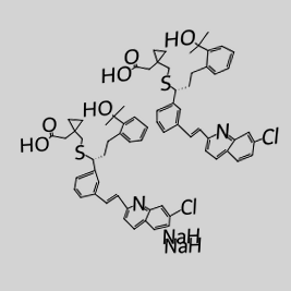 CC(C)(O)c1ccccc1CC[C@@H](SCC1(CC(=O)O)CC1)c1cccc(/C=C/c2ccc3ccc(Cl)cc3n2)c1.CC(C)(O)c1ccccc1CC[C@@H](SCC1(CC(=O)O)CC1)c1cccc(/C=C/c2ccc3ccc(Cl)cc3n2)c1.[NaH].[NaH]